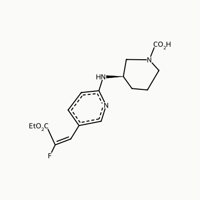 CCOC(=O)/C(F)=C\c1ccc(N[C@@H]2CCCN(C(=O)O)C2)nc1